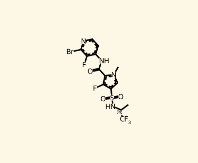 C[C@@H](NS(=O)(=O)c1cn(C)c(C(=O)Nc2ccnc(Br)c2F)c1F)C(F)(F)F